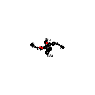 CC(C)(C)c1ccc2c(c1)c1cccc3c1n2-c1cc(-c2ccc(OCCCOc4ccco4)cc2)cc2c1B3c1cc(-c3ccc(OCCCOc4ccco4)cc3)cc3c4cc(C(C)(C)C)ccc4n-2c13